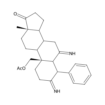 CC(=O)OC[C@]12CCC(=N)C(c3ccccc3)C1C(=N)CC1C2CC[C@]2(C)C(=O)CCC12